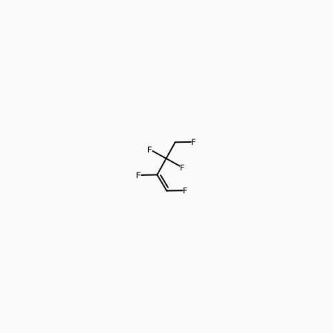 F/C=C(/F)C(F)(F)CF